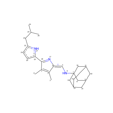 CC1=C(C)/C(=C\NC23CC4CC(CC(C4)C2)C3)N=C1c1ccc(CC(C)C)[nH]1